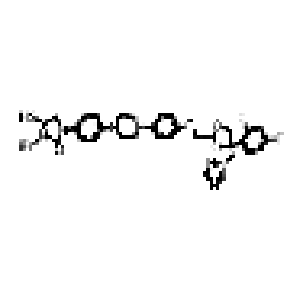 CC(C)N1C(=O)N(c2ccc(N3CCN(c4ccc(OC[C@H]5OC[C@](Cn6cncn6)(c6ccc(F)cc6F)O5)cc4)CC3)cc2)CC1S